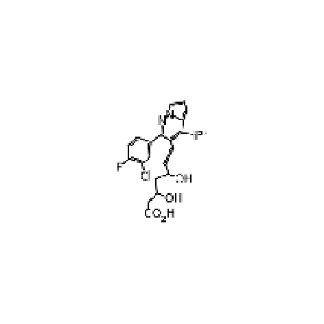 CC(C)c1c(/C=C/C(O)CC(O)CC(=O)O)c(-c2ccc(F)c(Cl)c2)nn2cccc12